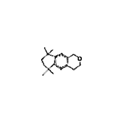 CC1(C)CCC(C)(C)c2cc3c(cc21)CCOC3